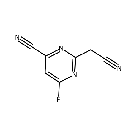 N#CCc1nc(F)cc(C#N)n1